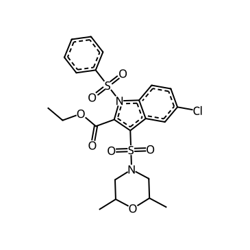 CCOC(=O)c1c(S(=O)(=O)N2CC(C)OC(C)C2)c2cc(Cl)ccc2n1S(=O)(=O)c1ccccc1